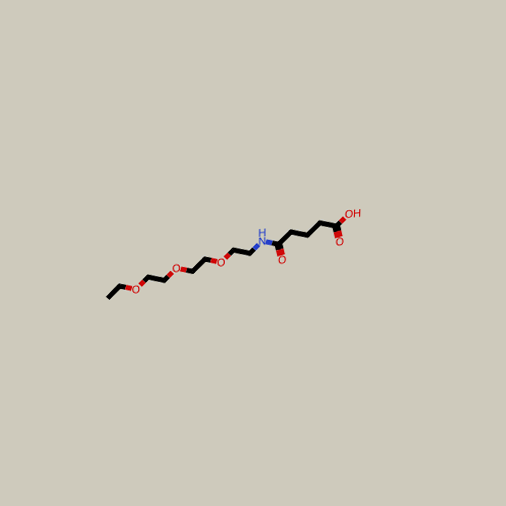 CCOCCOCCOCCNC(=O)CCCC(=O)O